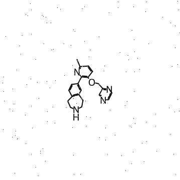 Cc1ccc(OCc2cnccn2)c(-c2ccc3c(c2)CCNCC3)n1